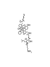 C=C/C=C/C=C(\C)[C@H](C[C@@H]1CC[C@@H](C)[C@](O)(C(=O)C(=O)N2CCCC[C@H]2C(=O)O[C@@H](C[C@@H](O)[C@H](C)/C=C(\C)[C@@H](O)[C@@H](OC)/C(=N/OCCCCN)[C@H](C)CC(C)C)[C@H](C)C[C@@H]2CC[C@@H](O)[C@H](OC)C2)O1)OC